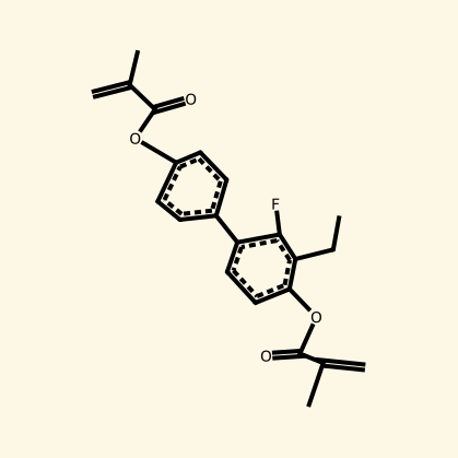 C=C(C)C(=O)Oc1ccc(-c2ccc(OC(=O)C(=C)C)c(CC)c2F)cc1